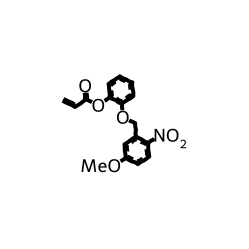 C=CC(=O)Oc1ccccc1OCc1cc(OC)ccc1[N+](=O)[O-]